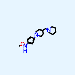 CONc1ccc(N2CCC(CN3CCCCC3)CC2)cc1